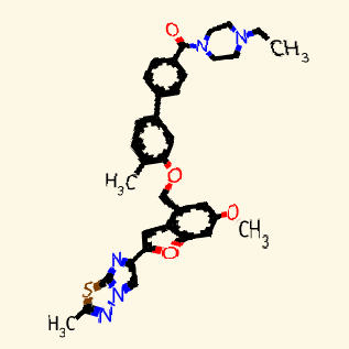 CCN1CCN(C(=O)c2ccc(-c3ccc(C)c(OCc4cc(OC)cc5oc(-c6cn7nc(C)sc7n6)cc45)c3)cc2)CC1